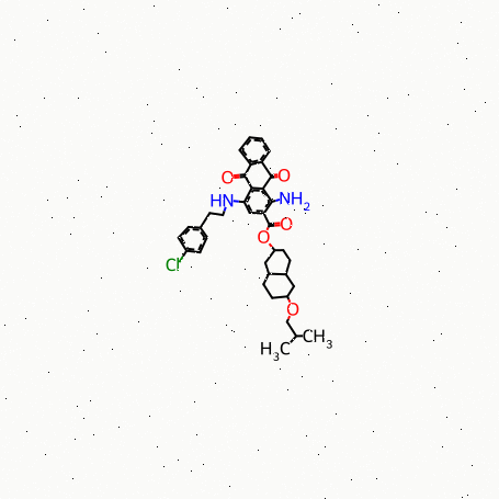 CC(C)COC1CCC2CC(OC(=O)c3cc(NCCc4ccc(Cl)cc4)c4c(c3N)C(=O)c3ccccc3C4=O)CCC2C1